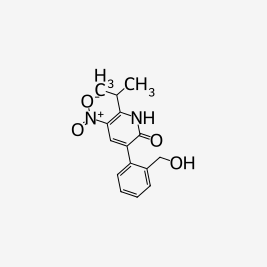 CC(C)c1[nH]c(=O)c(-c2ccccc2CO)cc1[N+](=O)[O-]